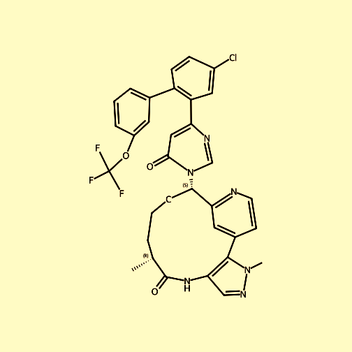 C[C@@H]1CCC[C@H](n2cnc(-c3cc(Cl)ccc3-c3cccc(OC(F)(F)F)c3)cc2=O)c2cc(ccn2)-c2c(cnn2C)NC1=O